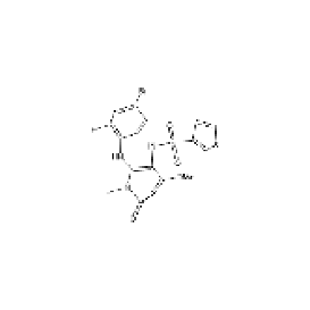 COc1cc(=O)n(C)c(Nc2ccc(Br)cc2F)c1NS(=O)(=O)c1ccsc1